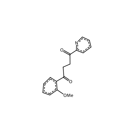 COc1ccccc1C(=O)CCC(=O)c1ccccn1